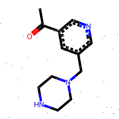 CC(=O)c1cncc(CN2CCNCC2)c1